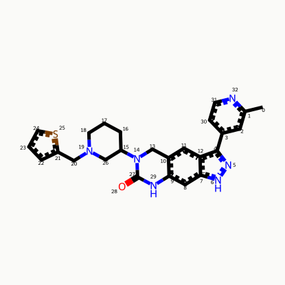 Cc1cc(-c2n[nH]c3cc4c(cc23)CN(C2CCCN(Cc3cccs3)C2)C(=O)N4)ccn1